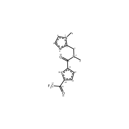 CN(Cc1nccn1C)C(=O)c1ccc(C(=O)C(F)(F)F)s1